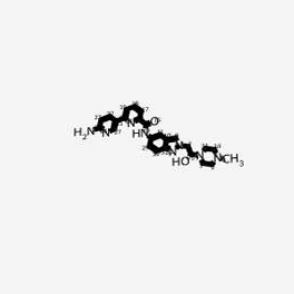 CN1CCN(C(O)Cn2cc3cc(NC(=O)c4cccc(-c5ccc(N)nc5)n4)ccc3n2)CC1